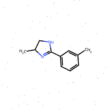 Cc1cccc(C2=NC(C)CN2)c1